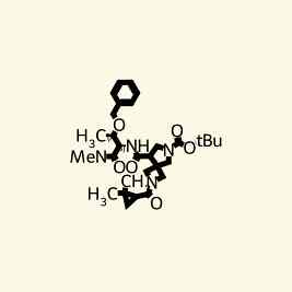 CNC(=O)[C@@H](NC(=O)C1CN(C(=O)OC(C)(C)C)CC12CN(C(=O)C1CC1(C)C)C2)[C@@H](C)OCc1ccccc1